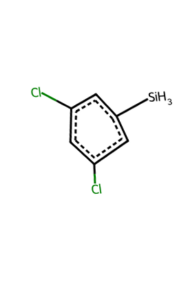 [SiH3]c1cc(Cl)cc(Cl)c1